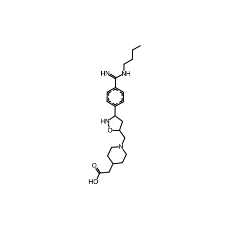 CCCCNC(=N)c1ccc(C2CC(CN3CCC(CC(=O)O)CC3)ON2)cc1